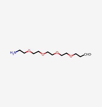 NCCOCCOCCOCCOCC[C]=O